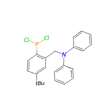 CC(C)(C)c1ccc(P(Cl)Cl)c(CN(c2ccccc2)c2ccccc2)c1